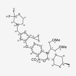 COCC(COC)N(c1ccc(Oc2sc(CN3CCCC(F)(F)C3)cc2C2CC2)cc1C(=O)O)C(=O)[C@H]1CC[C@H](C)CC1